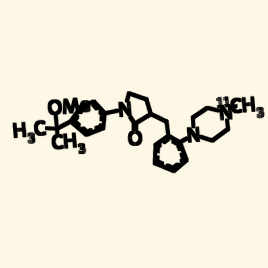 COC(C)(C)c1ccc(N2CCC(Cc3ccccc3N3CCN([11CH3])CC3)C2=O)cc1